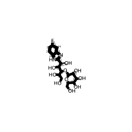 OCC(O)C(OC1OC(CO)C(O)C(O)C1O)C(O)[C@H](O)c1nc2cc(F)ccc2[nH]1